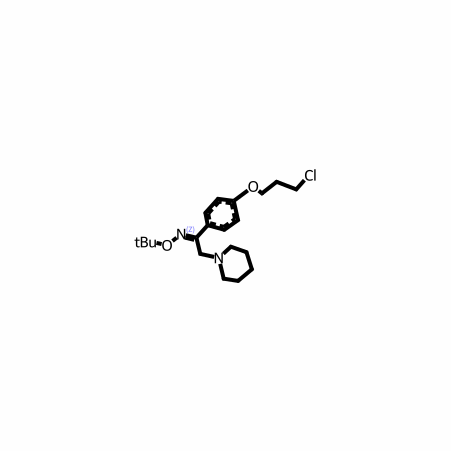 CC(C)(C)O/N=C(\CN1CCCCC1)c1ccc(OCCCCl)cc1